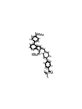 CNc1ccc(-c2ccnc3c2cc(CN2CCC(c4ccc(C(=O)N(C)C)cc4)CC2)n3CC(C)(C)C)cn1